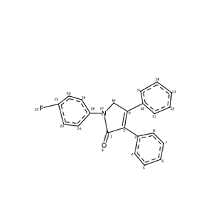 O=C1C(c2ccccc2)=C(c2ccccc2)CN1c1ccc(F)cc1